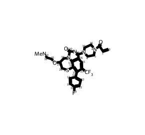 C=CC(=O)N1CCN(c2nc(=O)n3c4c(c(-c5ccc(F)cc5)c(C(F)(F)F)cc24)SCC(OCCNC)C3)CC1